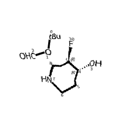 CC(C)(C)OC=O.O[C@@H]1CCNC[C@H]1F